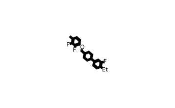 CCc1ccc(C2CCC(COc3ccc(C)c(F)c3F)CC2)cc1F